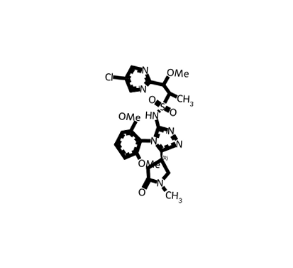 COc1cccc(OC)c1-n1c(NS(=O)(=O)C(C)C(OC)c2ncc(Cl)cn2)nnc1[C@@H]1CC(=O)N(C)C1